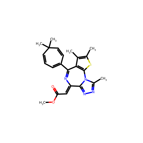 COC(=O)/C=C1\N=C(C2=CC=CC(C)(C)C=C2)c2c(sc(C)c2C)-n2c(C)nnc21